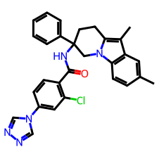 Cc1ccc2c(c1)c(C)c1n2CC(NC(=O)c2ccc(-n3cnnc3)cc2Cl)(c2ccccc2)CC1